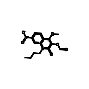 CCCCn1c(=O)c(OC=O)c(OC)c2ccc([N+](=O)[O-])cc21